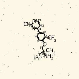 CC(C)C[C@](C)(N)COc1ccc(-c2ccnc(Cl)n2)cc1C(F)(F)F